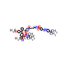 COc1ccc(C(OCC2(COP(OCCC#N)N(C(C)C)C(C)C)CCN(C(=O)CCCCCNS(=O)(=O)c3ccc(/N=N/c4ccc(N(C)C)cc4)cc3)CC2)(c2ccccc2)c2ccc(OC)cc2)cc1